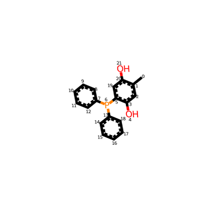 Cc1cc(O)c(P(c2ccccc2)c2ccccc2)cc1O